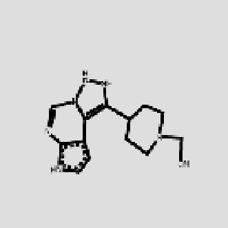 N#CCN1CCC(C2=C3c4cc[nH]c4N=CN3NN2)CC1